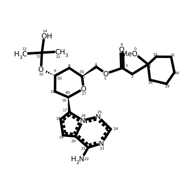 COC1(CC(=O)OC[C@@H]2C[C@@H](OC(C)(C)O)C[C@H](c3ccc4c(N)ncnn34)O2)CCCCC1